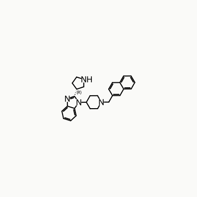 c1ccc2cc(CN3CCC(n4c([C@@H]5CCNC5)nc5ccccc54)CC3)ccc2c1